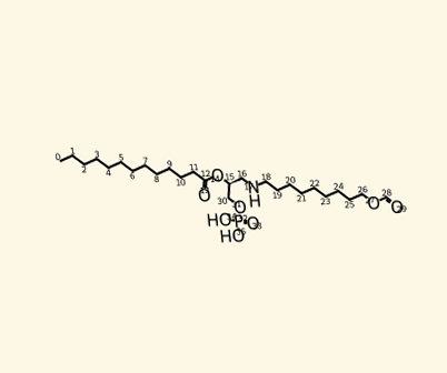 CCCCCCCCCCCCC(=O)O[C@@H](CNCCCCCCCCCOC=O)COP(=O)(O)O